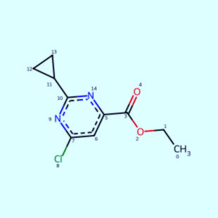 CCOC(=O)c1cc(Cl)nc(C2CC2)n1